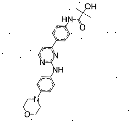 CC(C)(O)C(=O)Nc1ccc(-c2ccnc(Nc3ccc(N4CCOCC4)cc3)n2)cc1